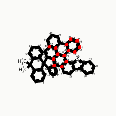 CC1(C)c2ccccc2C2(c3ccccc3-c3c(N(c4cccc5c4sc4ccccc45)C4C=CC=CC4c4ccccc4-c4ccccc4-c4ccccc4)cccc32)c2ccccc21